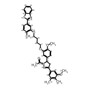 COc1ccc(C2CC(c3cc(C)c(C)c(OC)c3)=NN2C(C)=O)cc1OCCCCOc1cc(-c2nc3ccccc3s2)ccc1C